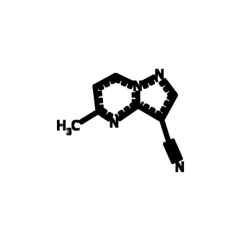 Cc1ccn2ncc(C#N)c2n1